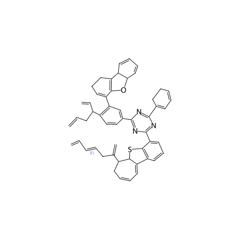 C=C/C=C/CC(=C)C1CC=CC=C2c3cccc(-c4nc(C5=CC=CCC5)nc(-c5ccc(C(C=C)CC=C)c(C6=CCCC7=C6OC6C=CC=CC76)c5)n4)c3SC21